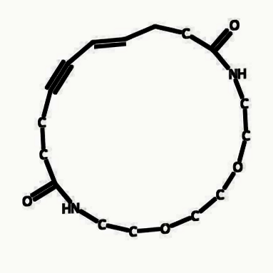 O=C1CCC#C/C=C/CCC(=O)NCCOCCOCCN1